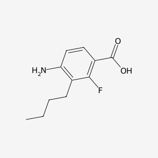 CCCCc1c(N)ccc(C(=O)O)c1F